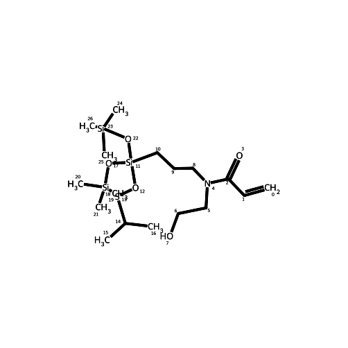 C=CC(=O)N(CCO)CCC[Si](OSC(C)C)(O[Si](C)(C)C)O[Si](C)(C)C